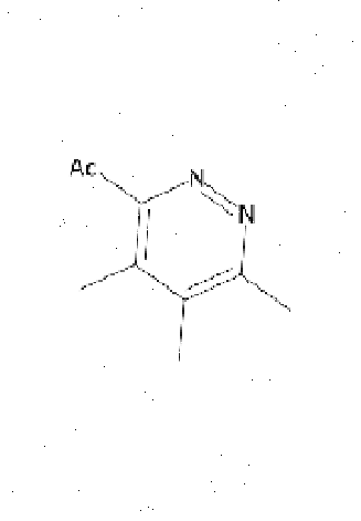 CC(=O)c1nnc(C)c(C)c1C